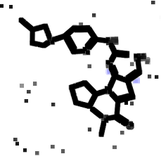 C=C(/N=C1\C(=C/N)C=C(C(=O)N(C)C)N1C1CCCC1)Nc1ccc(N2CCC(C)C2)cn1